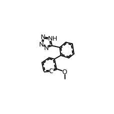 COc1ccccc1-c1ccccc1-c1nnn[nH]1